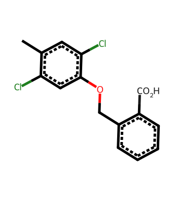 Cc1cc(Cl)c(OCc2ccccc2C(=O)O)cc1Cl